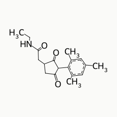 CCNC(=O)CC1CC(=O)C(c2c(C)cc(C)cc2C)C1=O